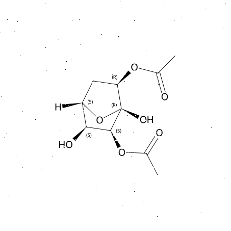 CC(=O)O[C@@H]1C[C@@H]2O[C@@]1(O)[C@@H](OC(C)=O)[C@H]2O